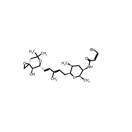 CC(/C=C/[C@H]1OC(C)(C)C[C@@]2(CO2)[C@@H]1O)=C\C[C@@H]1O[C@H](C)[C@H](NC(=O)/C=C\C(C)(C)C)C[C@@H]1C